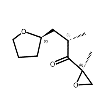 C[C@@H](C[C@H]1CCCO1)C(=O)[C@@]1(C)CO1